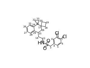 O=S(=O)(Cc1ccc(Cl)c(Cl)c1)NCCC1CC2(CCC2)C2(CC2)c2ccccc21